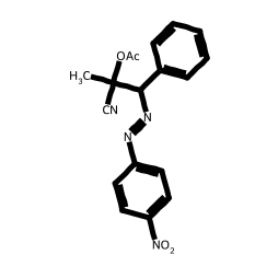 CC(=O)OC(C)(C#N)C(N=Nc1ccc([N+](=O)[O-])cc1)c1ccccc1